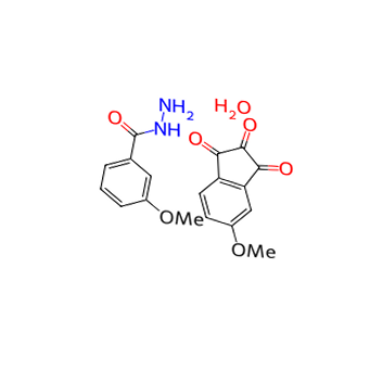 COc1ccc2c(=O)c(=O)c(=O)c2c1.COc1cccc(C(=O)NN)c1.O